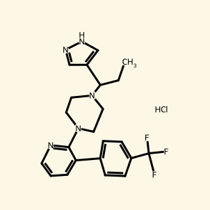 CCC(c1cn[nH]c1)N1CCN(c2ncccc2-c2ccc(C(F)(F)F)cc2)CC1.Cl